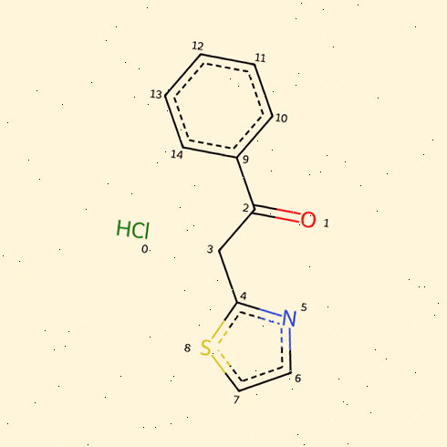 Cl.O=C(Cc1nccs1)c1ccccc1